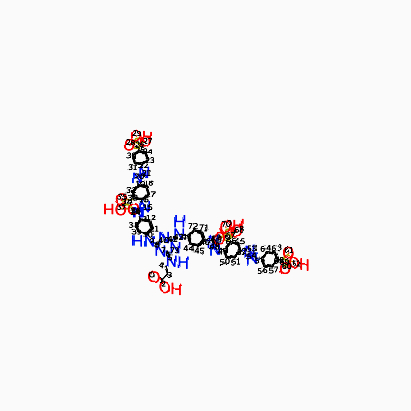 O=C(O)CCNc1nc(Nc2ccc(N=Nc3ccc(N=Nc4ccc(S(=O)(=O)O)cc4)cc3S(=O)(=O)O)cc2)nc(Nc2ccc(N=Nc3ccc(N=Nc4ccc(S(=O)(=O)O)cc4)cc3S(=O)(=O)O)cc2)n1